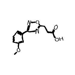 COc1cccc(-c2noc(CCC(=O)O)n2)c1